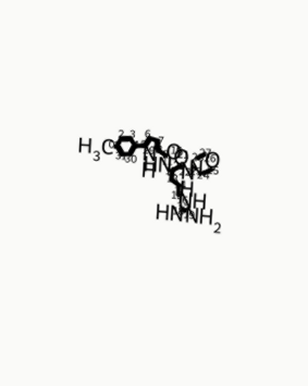 Cc1ccc(-c2ccc(C(=O)NC(CCCNC(=N)N)C(=O)NN3CCOCC3)[nH]2)cc1